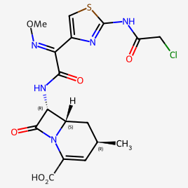 CON=C(C(=O)N[C@H]1C(=O)N2C(C(=O)O)=C[C@H](C)C[C@@H]12)c1csc(NC(=O)CCl)n1